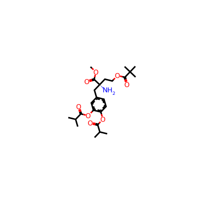 COC(=O)[C@@](N)(CCOC(=O)C(C)(C)C)Cc1ccc(OC(=O)C(C)C)c(OC(=O)C(C)C)c1